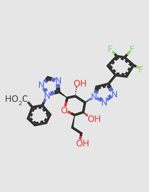 O=C(O)c1ccccc1-n1ncnc1[C@@H]1O[C@H](CCO)[C@H](O)[C@H](n2cc(-c3cc(F)c(F)c(F)c3)nn2)[C@H]1O